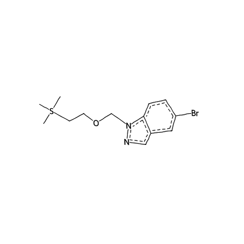 CS(C)(C)CCOCn1ncc2cc(Br)ccc21